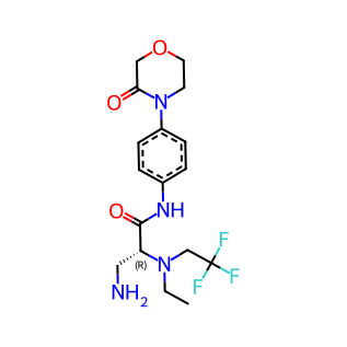 CCN(CC(F)(F)F)[C@H](CN)C(=O)Nc1ccc(N2CCOCC2=O)cc1